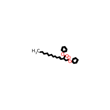 CCCCCCCCCCC=CC(CC(=O)Oc1ccccc1)C(=O)Oc1ccccc1